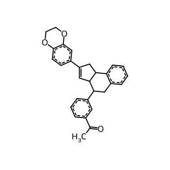 CC(=O)c1cccc(C2Cc3ccccc3C3CC(c4ccc5c(c4)OCCO5)=CC23)c1